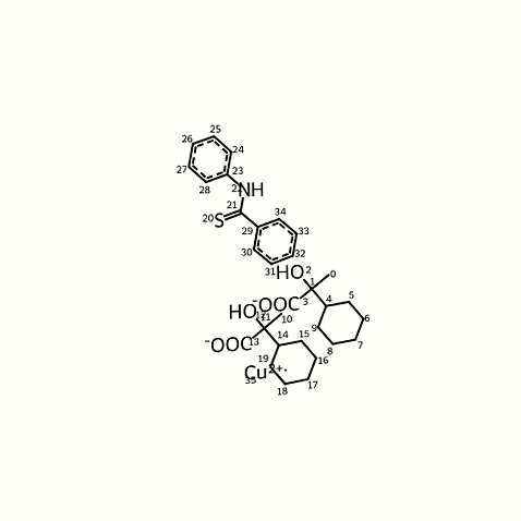 CC(O)(C(=O)[O-])C1CCCCC1.CC(O)(C(=O)[O-])C1CCCCC1.S=C(Nc1ccccc1)c1ccccc1.[Cu+2]